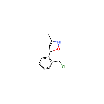 CC1=CC(c2ccccc2CCl)ON1